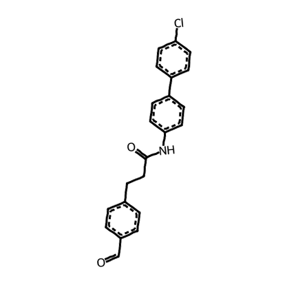 O=Cc1ccc(CCC(=O)Nc2ccc(-c3ccc(Cl)cc3)cc2)cc1